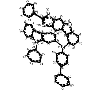 c1ccc(-c2ccc(N(c3ccc4c5ccccc5n(-c5ccccc5)c4c3)c3cccc4oc5cc6nc(-c7ccccc7)sc6cc5c34)cc2)cc1